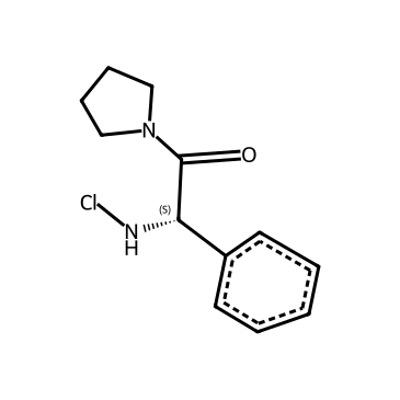 O=C([C@@H](NCl)c1ccccc1)N1CCCC1